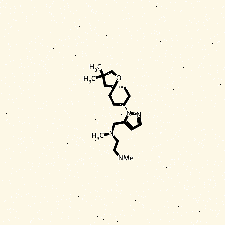 CNCCN(C)Cc1ccnn1[C@H]1CC[C@]2(CC1)CC(C)(C)CO2